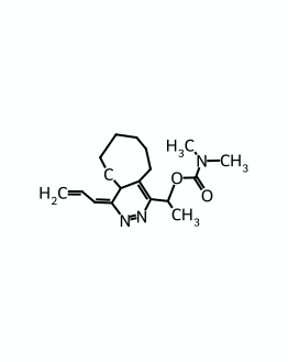 C=C/C=C1/N=NC(C(C)OC(=O)N(C)C)=C2CCCCCCC21